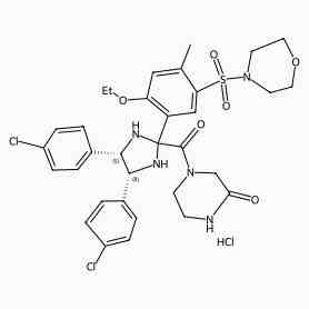 CCOc1cc(C)c(S(=O)(=O)N2CCOCC2)cc1C1(C(=O)N2CCNC(=O)C2)N[C@H](c2ccc(Cl)cc2)[C@H](c2ccc(Cl)cc2)N1.Cl